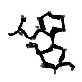 Cc1ccc(O)c(-c2ccccc2CC(C)O)c1